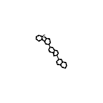 c1ccc2cc(-c3ccc4cc(-c5ccc6sc7ccccc7c6c5)ccc4c3)ccc2c1